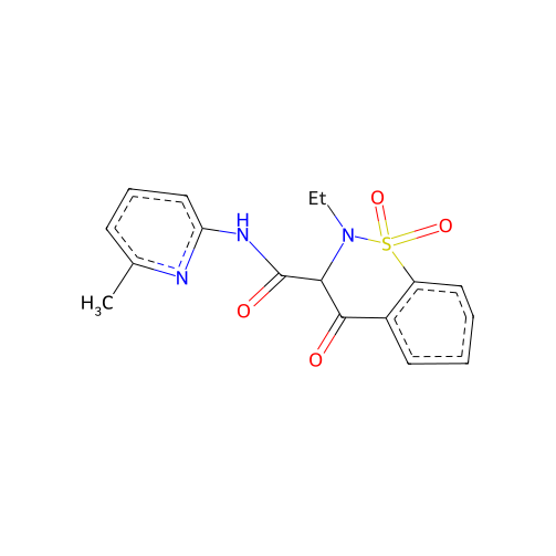 CCN1C(C(=O)Nc2cccc(C)n2)C(=O)c2ccccc2S1(=O)=O